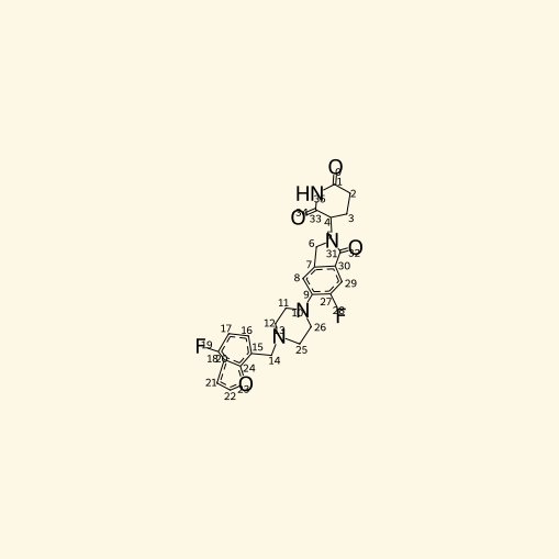 O=C1CCC(N2Cc3cc(N4CCN(Cc5ccc(F)c6ccoc56)CC4)c(F)cc3C2=O)C(=O)N1